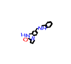 O=C1NCc2cc(CNCc3ccccc3)ccc2-n2cccc21